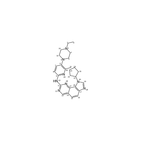 CCN1CCN(c2ccc(Nc3ncc4ccc5ncn(C6CCCC6)c5c4n3)nc2C)CC1